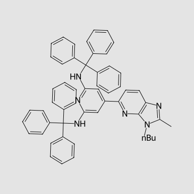 CCCCn1c(C)nc2ccc(-c3cc(NC(c4ccccc4)(c4ccccc4)c4ccccc4)nc(NC(c4ccccc4)(c4ccccc4)c4ccccc4)c3)nc21